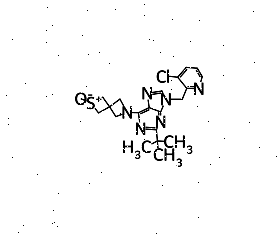 CC(C)(C)c1nc(N2CC3(C2)C[S+]([O-])C3)c2ncn(Cc3ncccc3Cl)c2n1